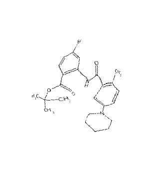 Cc1ccc(N2CCCCC2)cc1C(=O)Nc1cc(Br)ccc1C(=O)OC(C)(C)C